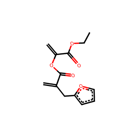 C=C(Cc1ccco1)C(=O)OC(=C)C(=O)OCC